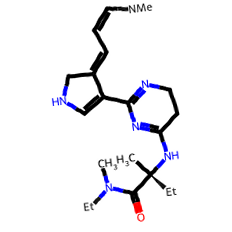 CCN(C)C(=O)[C@@](C)(CC)NC1=NC(C2=CNC/C2=C\C=C/NC)=NCC1